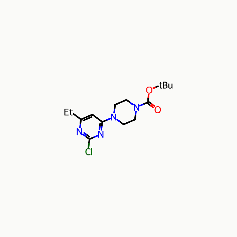 CCc1cc(N2CCN(C(=O)OC(C)(C)C)CC2)nc(Cl)n1